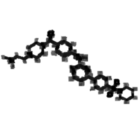 CN(C)CCN1CCN(C(=O)c2ccc(Nc3nccc(-c4ccc(S(=O)(=O)N5CCCCC5)cc4)n3)cc2)CC1